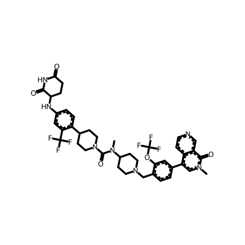 CN(C(=O)N1CCC(c2ccc(NC3CCC(=O)NC3=O)cc2C(F)(F)F)CC1)C1CCN(Cc2ccc(-c3cn(C)c(=O)c4cnccc34)cc2OC(F)(F)F)CC1